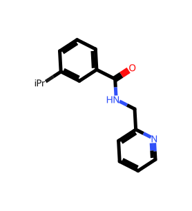 CC(C)c1cccc(C(=O)NCc2ccccn2)c1